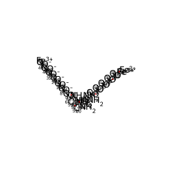 CC(=O)[O-].CC(=O)[O-].CC(=O)[O-].CC(=O)[O-].CC(=O)[O-].CC(=O)[O-].CC(=O)[O-].CC(=O)[O-].CC(=O)[O-].CC(=O)[O-].CC(=O)[O-].CC(=O)[O-].NC1CCCCC1N.NC1CCCCC1N.NC1CCCCC1N.[Fe+3].[Fe+3].[Fe+3].[Fe+3]